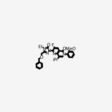 CCn1c(COCc2ccccc2)nn(-c2nc3c(C(C)C)cn(-c4ccccc4OC)c(=O)c3cc2F)c1=O